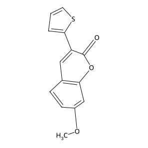 COc1ccc2cc(-c3cccs3)c(=O)oc2c1